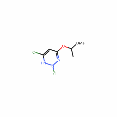 COC(C)OC1=NN(Cl)NC(Cl)=C1